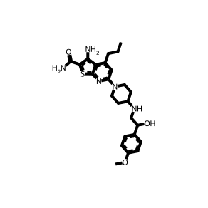 CCCc1cc(N2CCC(NCC(O)c3ccc(OC)cc3)CC2)nc2sc(C(N)=O)c(N)c12